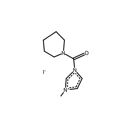 C[n+]1ccn(C(=O)N2CCCCC2)c1.[I-]